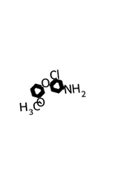 COc1cccc(Oc2ccc(N)cc2Cl)c1